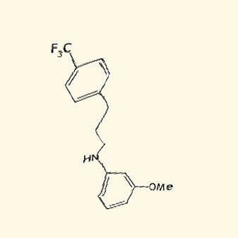 COc1cccc(NCCCc2ccc(C(F)(F)F)cc2)c1